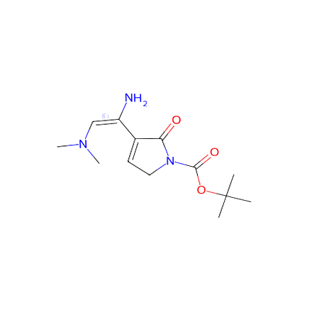 CN(C)/C=C(/N)C1=CCN(C(=O)OC(C)(C)C)C1=O